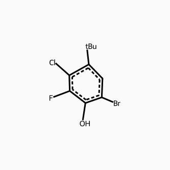 CC(C)(C)c1cc(Br)c(O)c(F)c1Cl